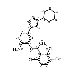 CC(Oc1cc(-c2cnn(C3CCCCC3)c2)cnc1N)c1c(Cl)ccc(F)c1Cl